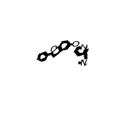 CN(C)Cc1ccc(Oc2ccc3c(c2)CCC(c2ccccc2)O3)nc1